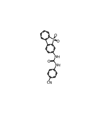 N#Cc1ccc(NC(=O)Nc2ccc3c(c2)S(=O)(=O)c2ccccc2-3)cc1